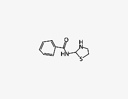 O=C(NC1NCCS1)c1ccccc1